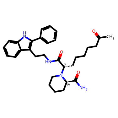 CC(=O)CCCCC[C@@H](C(=O)NCCc1c(-c2ccccc2)[nH]c2ccccc12)N1CCCC[C@@H]1C(N)=O